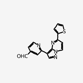 O=Cc1ccnc(-c2cnn3ccc(-c4cccs4)nc23)c1